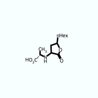 CCCCCCC1CC(N[C@@H](C)C(=O)O)C(=O)O1